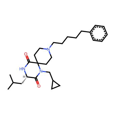 CC(C)C[C@@H]1NC(=O)C2(CCN(CCCCCc3ccccc3)CC2)N(CC2CC2)C1=O